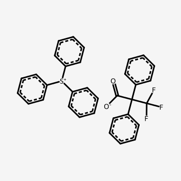 O=C([O-])C(c1ccccc1)(c1ccccc1)C(F)(F)F.c1ccc([S+](c2ccccc2)c2ccccc2)cc1